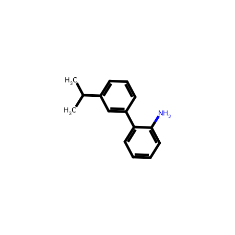 CC(C)c1cccc(-c2ccccc2N)c1